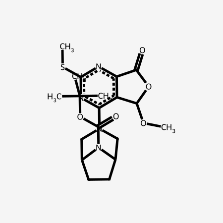 COC1OC(=O)c2nc(SC)nc(N3CC4CCC(C3)N4C(=O)OC(C)(C)C)c21